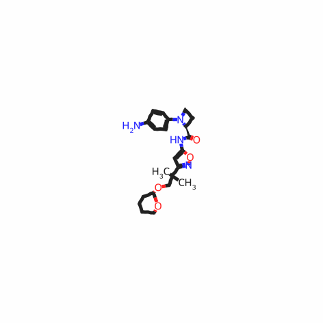 CC(C)(COC1CCCCO1)c1cc(NC(=O)[C@@H]2CCN2c2ccc(N)cc2)on1